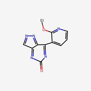 CCOc1ncccc1C1=NC(=O)N=C2C=NN=C21